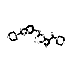 Cn1ncc(C(=O)N2CCOCC2)c1OC(=O)Nc1ccc2nc(N3CCOCC3)nn2c1